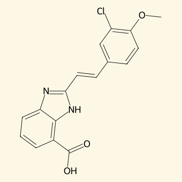 COc1ccc(C=Cc2nc3cccc(C(=O)O)c3[nH]2)cc1Cl